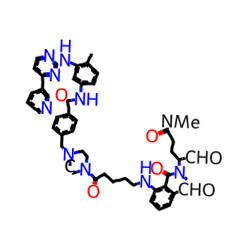 CNC(=O)CCC(C=O)N(C)C(=O)c1c(C=O)cccc1NCCCCC(=O)N1CCN(Cc2ccc(C(=O)Nc3ccc(C)c(Nc4nccc(-c5cccnc5)n4)c3)cc2)CC1